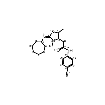 CC1SC(=NC2CCCCCC2)N(C)C1CC(=O)Nc1ccc(Br)cc1